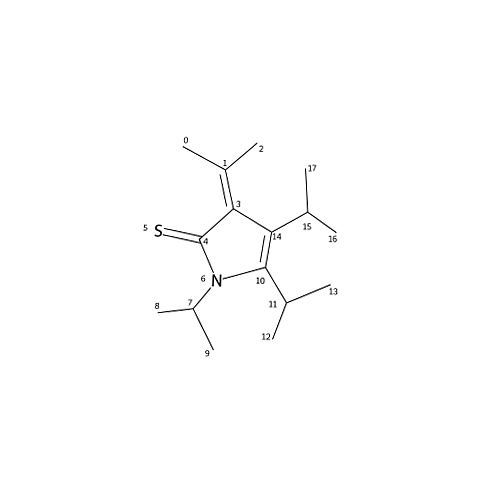 CC(C)=C1C(=S)N(C(C)C)C(C(C)C)=C1C(C)C